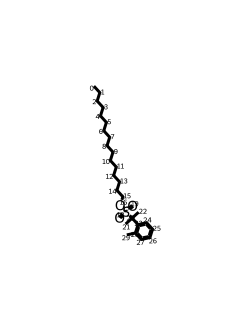 CCCCCCCCCCCCCCCCOS(=O)(=O)C(C)(C)c1ccccc1C